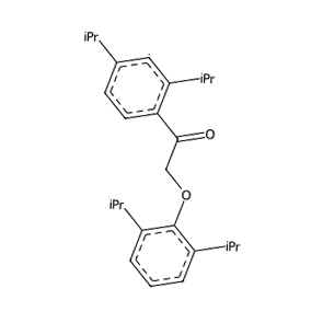 CC(C)c1[c]c(C(C)C)c(C(=O)COc2c(C(C)C)cccc2C(C)C)cc1